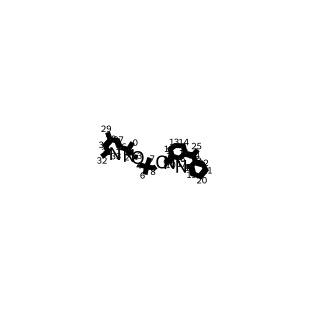 C/C(=N\OCC(C)(C)CO/N=C1\CCCc2c1nc1ccccc1c2C)c1cc(C)cc(C)n1